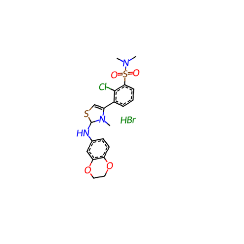 Br.CN1C(c2cccc(S(=O)(=O)N(C)C)c2Cl)=CSC1Nc1ccc2c(c1)OCCO2